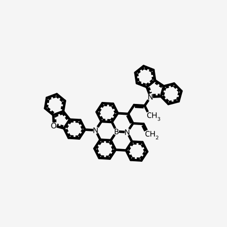 C=CC1=C(/C=C(\C)n2c3ccccc3c3ccccc32)c2cccc3c2B2c4c(cccc4N3c3ccc4oc5ccccc5c4c3)-c3ccccc3N21